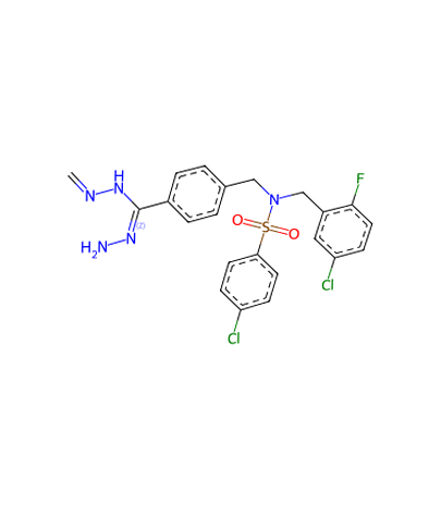 C=NN/C(=N\N)c1ccc(CN(Cc2cc(Cl)ccc2F)S(=O)(=O)c2ccc(Cl)cc2)cc1